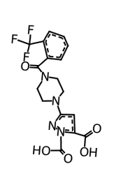 O=C(O)c1cc(N2CCN(C(=O)c3ccccc3C(F)(F)F)CC2)nn1C(=O)O